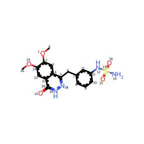 COc1cc2c(Cc3cccc(NS(N)(=O)=O)c3)n[nH]c(=O)c2cc1OC